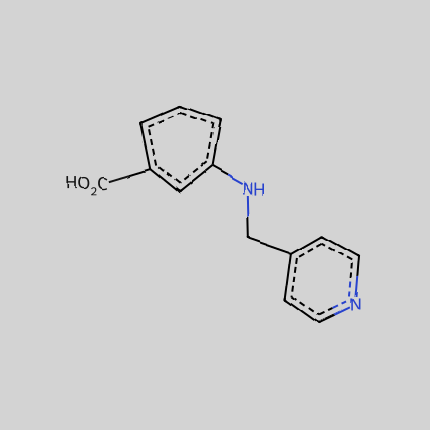 O=C(O)c1cccc(NCc2ccncc2)c1